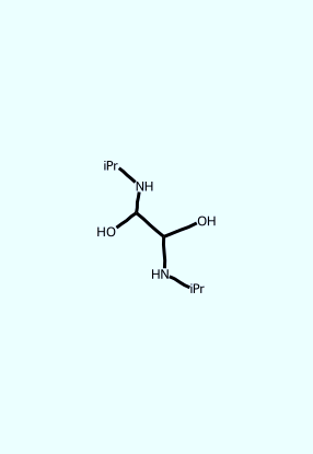 CC(C)NC(O)C(O)NC(C)C